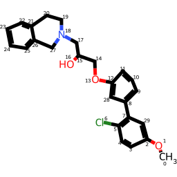 COc1ccc(Cl)c(-c2cccc(OCC(O)CN3CCc4ccccc4C3)c2)c1